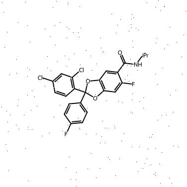 CC(C)NC(=O)c1cc2c(cc1F)OC(c1ccc(F)cc1)(c1ccc(Cl)cc1Cl)O2